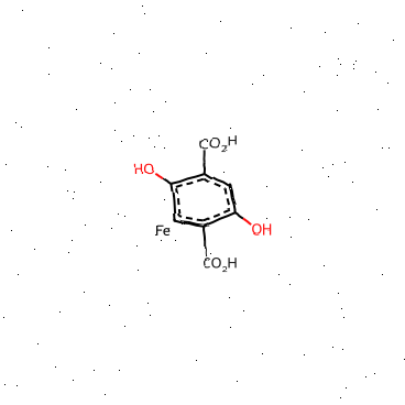 O=C(O)c1cc(O)c(C(=O)O)cc1O.[Fe]